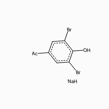 CC(=O)c1cc(Br)c(O)c(Br)c1.[NaH]